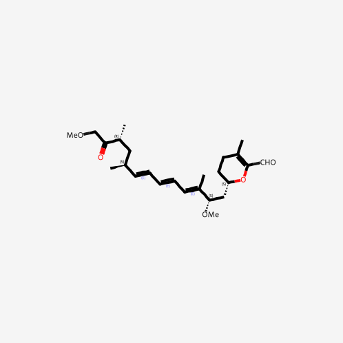 COCC(=O)[C@H](C)C[C@H](C)/C=C/C=C/C=C(\C)[C@H](C[C@@H]1CCC(C)=C(C=O)O1)OC